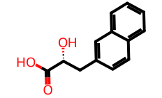 O=C(O)[C@H](O)Cc1ccc2ccccc2c1